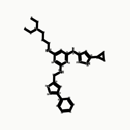 CCN(CC)CCCNc1cc(Nc2cc(C3CC3)[nH]n2)nc(NCc2cc(-c3ccccc3)no2)n1